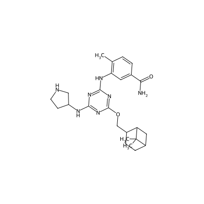 Cc1ccc(C(N)=O)cc1Nc1nc(NC2CCNC2)nc(OCC2CCC3CC2C3(C)C)n1